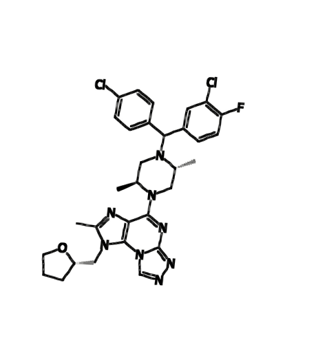 Cc1nc2c(N3C[C@@H](C)N(C(c4ccc(Cl)cc4)c4ccc(F)c(Cl)c4)C[C@@H]3C)nc3nncn3c2n1C[C@@H]1CCCO1